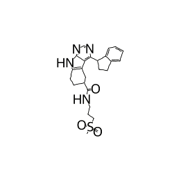 CS(=O)(=O)CCCNC(=O)C1CCc2[nH]c3ncnc(C4CCc5ccccc54)c3c2C1